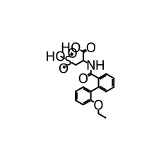 CCOc1ccccc1-c1ccccc1C(=O)NC(CS(=O)(=O)O)C(=O)O